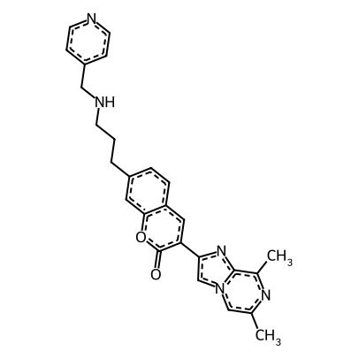 Cc1cn2cc(-c3cc4ccc(CCCNCc5ccncc5)cc4oc3=O)nc2c(C)n1